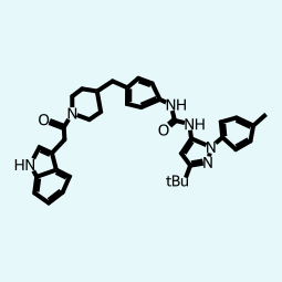 Cc1ccc(-n2nc(C(C)(C)C)cc2NC(=O)Nc2ccc(CC3CCN(C(=O)Cc4c[nH]c5ccccc45)CC3)cc2)cc1